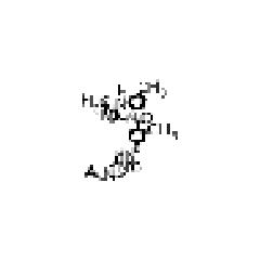 Cc1ccc2c(c1)Nc1c(cnn1C)CN2C(=O)c1ccc(CNC(=O)N2CCN(CC3CC3)CC2)cc1C